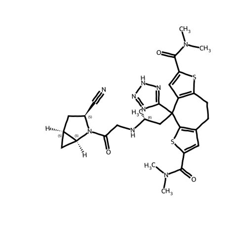 C[C@H](CC1(c2nn[nH]n2)c2cc(C(=O)N(C)C)sc2CCc2cc(C(=O)N(C)C)sc21)NCC(=O)N1[C@H](C#N)C[C@@H]2C[C@@H]21